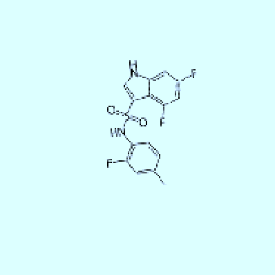 Cc1ccc(NS(=O)(=O)c2c[nH]c3cc(F)cc(F)c23)c(F)c1